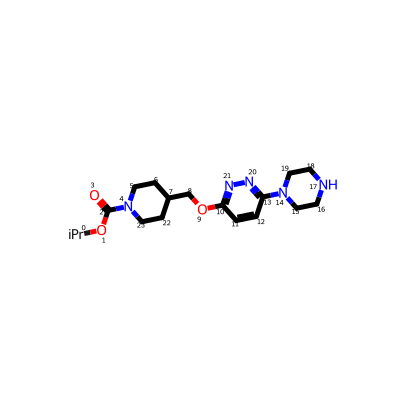 CC(C)OC(=O)N1CCC(COc2ccc(N3CCNCC3)nn2)CC1